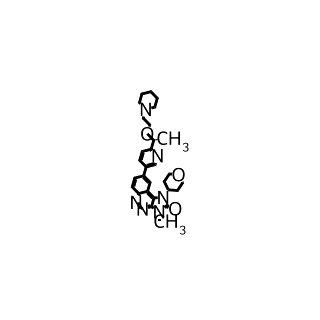 C[C@@H](OCCN1CCCCC1)c1ccc(-c2ccc3nnc4c(c3c2)n(C2CCOCC2)c(=O)n4C)cn1